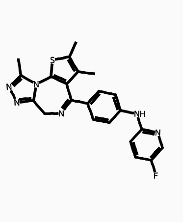 Cc1sc2c(c1C)C(c1ccc(Nc3ccc(F)cn3)cc1)=NCc1nnc(C)n1-2